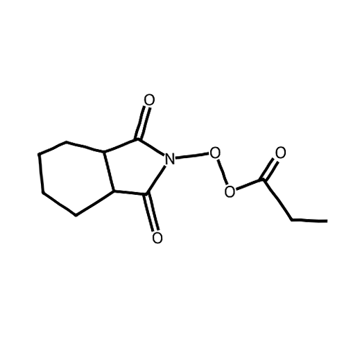 CCC(=O)OON1C(=O)C2CCCCC2C1=O